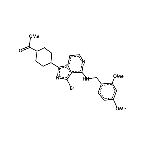 COC(=O)C1CCC(c2nc(Br)c3c(NCc4ccc(OC)cc4OC)nccn23)CC1